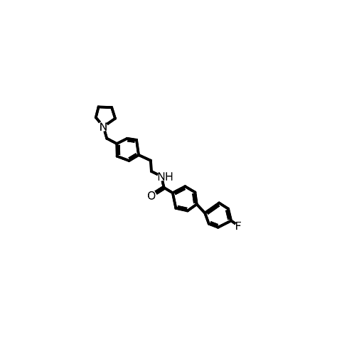 O=C(NCCc1ccc(CN2CCCC2)cc1)c1ccc(-c2ccc(F)cc2)cc1